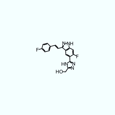 OCc1nnc(-c2cc3c(C=Cc4ccc(F)cc4)n[nH]c3cc2F)[nH]1